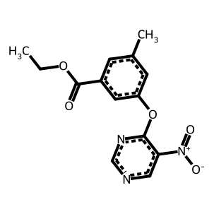 CCOC(=O)c1cc(C)cc(Oc2ncncc2[N+](=O)[O-])c1